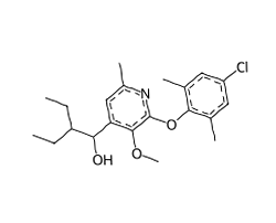 CCC(CC)C(O)c1cc(C)nc(Oc2c(C)cc(Cl)cc2C)c1OC